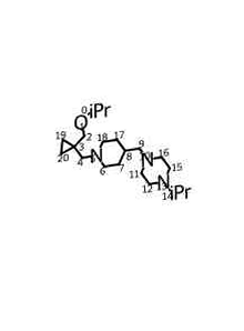 CC(C)OCC1(CN2CCC(CN3CCN(C(C)C)CC3)CC2)CC1